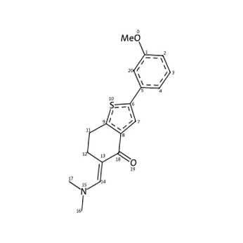 COc1cccc(-c2cc3c(s2)CCC(=CN(C)C)C3=O)c1